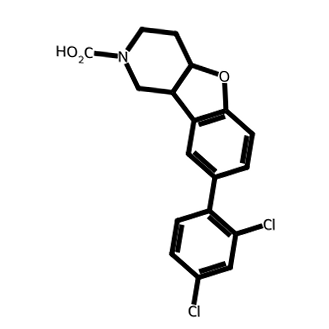 O=C(O)N1CCC2Oc3ccc(-c4ccc(Cl)cc4Cl)cc3C2C1